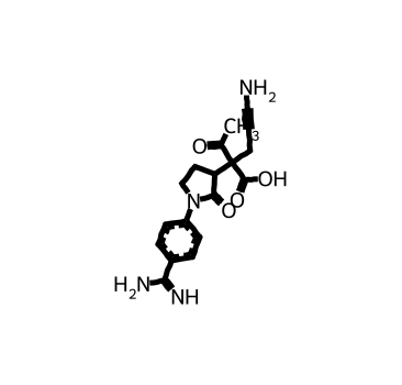 CC(=O)C(CC#CN)(C(=O)O)C1CCN(c2ccc(C(=N)N)cc2)C1=O